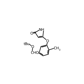 CC(C)(C)OC=O.Cc1ccccc1OC1=CC(=O)NC1